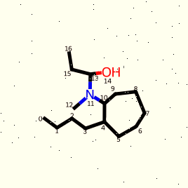 CCCCC1CCCCCC1N(C)C(O)CC